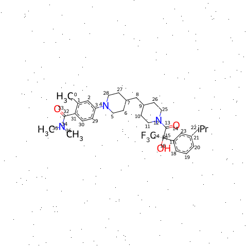 Cc1cc(N2CCC(CC3CCN(C(=O)[C@](O)(c4cccc(C(C)C)c4)C(F)(F)F)CC3)CC2)ccc1C(=O)N(C)C